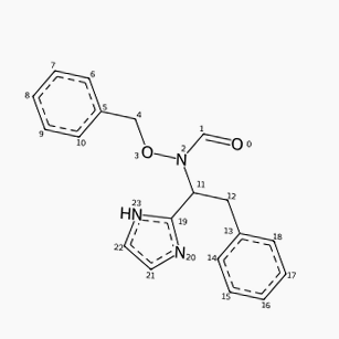 O=CN(OCc1ccccc1)C(Cc1ccccc1)c1ncc[nH]1